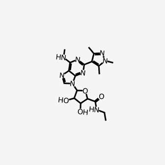 CCNC(=O)C1OC(n2cnc3c(NC)nc(-c4c(C)nn(C)c4C)nc32)C(O)C1O